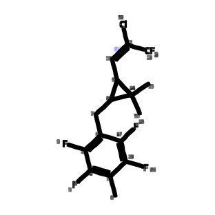 Cc1c(F)c(F)c(CC2C(/C=C(/Cl)C(F)(F)F)C2(C)C)c(F)c1F